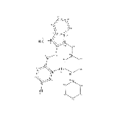 Cn1c(COc2ccc(Cl)cc2Cl)c(CN2CCC(N3CCCCC3)CC2)c2ccccc21